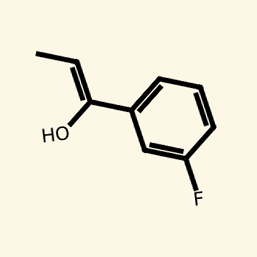 CC=C(O)c1cccc(F)c1